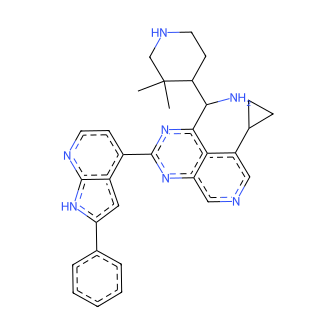 CC1(C)CNCCC1C(N)c1nc(-c2ccnc3[nH]c(-c4ccccc4)cc23)nc2cncc(C3CC3)c12